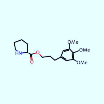 COc1cc(CCCOC(=O)[C@@H]2CCCCN2)cc(OC)c1OC